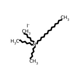 CCCCCCCCCCCCCCCC[N+](CCCCCCC)(CCCCCCC)CCCCCCC.[I-]